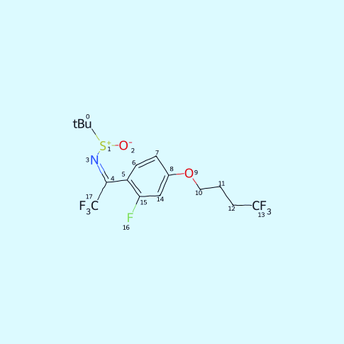 CC(C)(C)[S+]([O-])/N=C(\c1ccc(OCCCC(F)(F)F)cc1F)C(F)(F)F